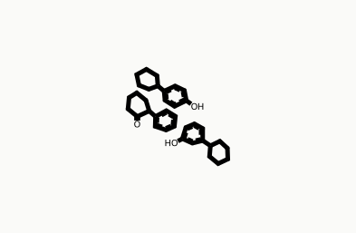 O=C1CCCCC1c1ccccc1.Oc1ccc(C2CCCCC2)cc1.Oc1cccc(C2CCCCC2)c1